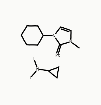 Cn1ccn(C2CCCCC2)[c]1=[Pt].IN(I)C1CC1